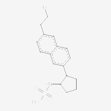 CS(=O)(=O)NC1CCCC1c1ccc2cc(CCBr)ccc2c1